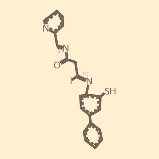 O=C(C/C(I)=N/c1ccc(-c2ccccc2)cc1S)/N=C/c1ccccn1